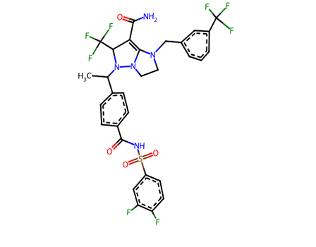 CC(c1ccc(C(=O)NS(=O)(=O)c2ccc(F)c(F)c2)cc1)N1C(C(F)(F)F)C(C(N)=O)=C2N(Cc3cccc(C(F)(F)F)c3)CCN21